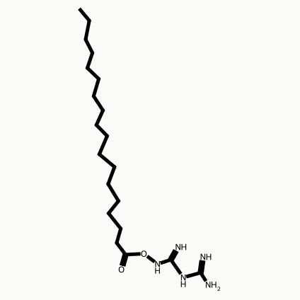 CCCCCCCCCCCCCCCCCC(=O)ONC(=N)NC(=N)N